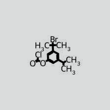 CC(C)c1cc(OC(=O)Cl)cc(C(C)(C)Br)c1